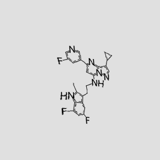 Cc1[nH]c2c(F)cc(F)cc2c1CCNc1cc(-c2cncc(F)c2)nc2c(C3CC3)cnn12